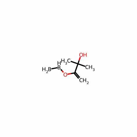 BBOC(=C)C(C)(C)O